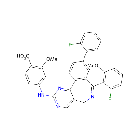 COc1cc(Nc2ncc3c(n2)-c2ccc(-c4ccccc4F)cc2C(c2c(F)cccc2OC)=NC3)ccc1C(=O)O